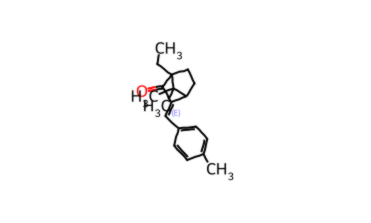 CCC12CCC(/C(=C\c3ccc(C)cc3)C1=O)C2(C)C